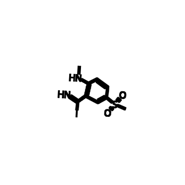 CNc1ccc(S(C)(=O)=O)cc1C(=N)I